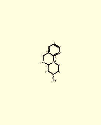 CC(C)N1CCN2c3ncccc3COC2C1